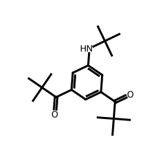 CC(C)(C)Nc1cc(C(=O)C(C)(C)C)cc(C(=O)C(C)(C)C)c1